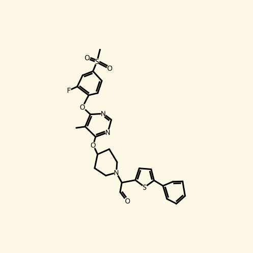 Cc1c(Oc2ccc(S(C)(=O)=O)cc2F)ncnc1OC1CCN(C(C=O)c2ccc(-c3ccccc3)s2)CC1